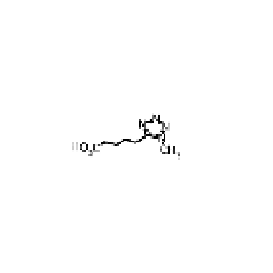 Cn1nnnc1CCCCC(=O)O